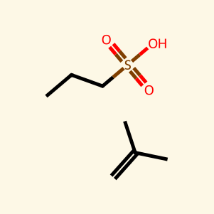 C=C(C)C.CCCS(=O)(=O)O